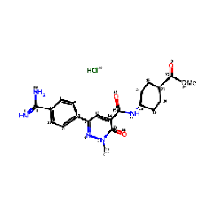 CCn1nc(-c2ccc(C(=N)N)cc2)cc(C(=O)N[C@H]2CC[C@H](C(=O)OC)CC2)c1=O.Cl